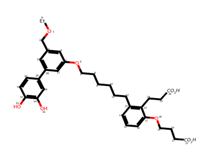 CCOCc1cc(OCCCCCCc2cccc(OCCCC(=O)O)c2CCC(=O)O)cc(-c2ccc(O)c(O)c2)c1